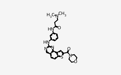 CN(C)CCC(=O)Nc1cccc(Nc2ncc3ccc4sc(C(=O)N5CCOCC5)cc4c3n2)c1